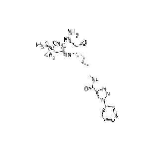 C[N+](C)(C)CC(=O)N[C@@H](CCCCNC(=O)c1cn(-c2ccccc2)nn1)C(=O)NN